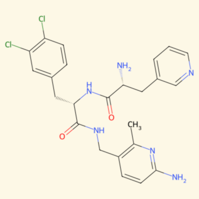 Cc1nc(N)ccc1CNC(=O)[C@H](Cc1ccc(Cl)c(Cl)c1)NC(=O)[C@H](N)Cc1cccnc1